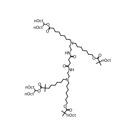 CCCCCCCCC(CCCCCCCC)OC(=O)CCCCCCCN(CCCCCCCOC(=O)C(C)(C)CCCCCCCC)CCNC(=O)CCC(=O)NCCN(CCCCCCCOC(=O)C(C)(C)CCCCCCCC)CCCCCCC(C)(C)C(=O)OC(CCCCCCCC)CCCCCCCC